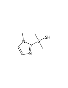 Cn1ccnc1S(C)(C)S